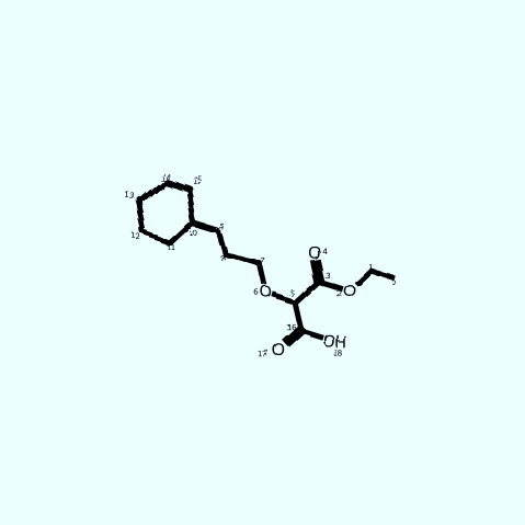 CCOC(=O)C(OCCCC1CCCCC1)C(=O)O